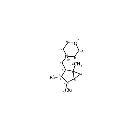 CC12CC1N(C(C)(C)C)[C@H](C(C)(C)C)C2CN1CCOCC1